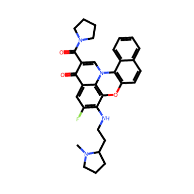 CN1CCCC1CCNc1c(F)cc2c(=O)c(C(=O)N3CCCC3)cn3c2c1Oc1ccc2ccccc2c1-3